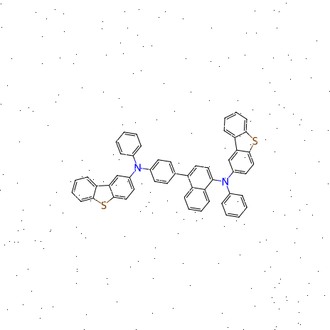 c1ccc(N(c2ccc(-c3ccc(N(c4ccccc4)c4ccc5sc6ccccc6c5c4)c4ccccc34)cc2)c2ccc3sc4ccccc4c3c2)cc1